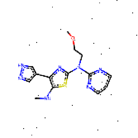 CNc1sc(N(CCOC)c2ncccn2)nc1-c1cn[nH]c1